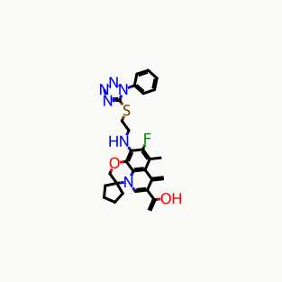 C=C(O)C1=CN2c3c(c(NCCSc4nnnn4-c4ccccc4)c(F)c(C)c3C1=C)OCC21CCCC1